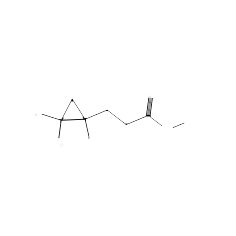 COC(=O)CCC1(Br)CC1(Br)Br